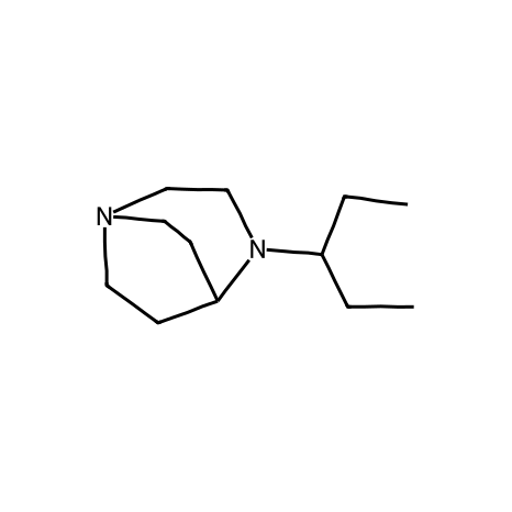 CCC(CC)N1CCN2CCC1CC2